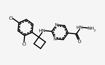 NNC(=O)c1cnc(NC2(c3ccc(Cl)cc3Cl)CCC2)nc1